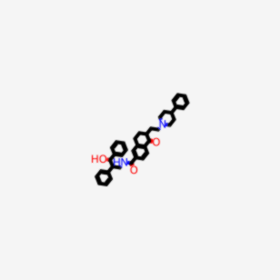 O=C(NCC(c1ccccc1)C(O)c1ccccc1)c1ccc2c(c1)CCC(CCN1CCC(c3ccccc3)CC1)C2=O